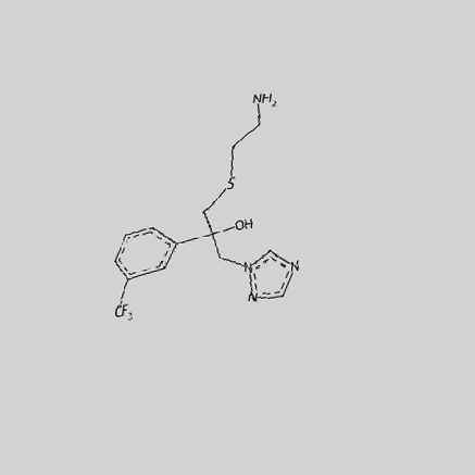 NCCSCC(O)(Cn1cncn1)c1cccc(C(F)(F)F)c1